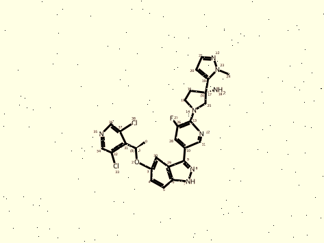 C[C@@H](Oc1ccc2[nH]nc(-c3cnc(N4CC[C@@](N)(c5ccnn5C)C4)c(F)c3)c2c1)c1c(Cl)cncc1Cl